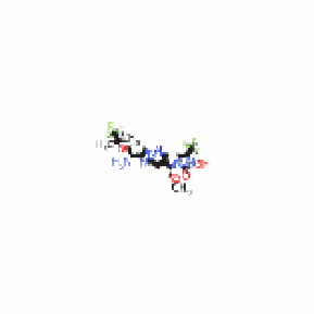 COC[C@H](c1cnn2cc([C@@H](N)COC(C)(C)C(F)(F)F)nc2c1)N1CC(C(F)(F)F)N(O)C1=O